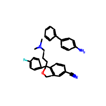 CN(C)CCCC1(c2ccc(F)cc2)OCc2cc(C#N)ccc21.Nc1ccc(-c2ccccc2)cc1